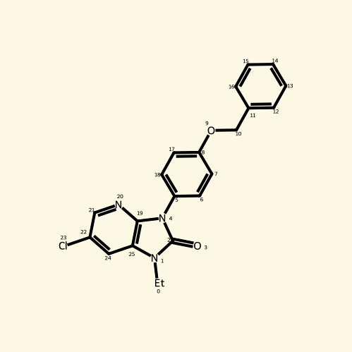 CCn1c(=O)n(-c2ccc(OCc3ccccc3)cc2)c2ncc(Cl)cc21